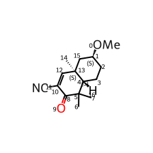 CO[C@H]1CC[C@@H]2C(C)(C)C(=O)C(C#N)=C[C@@]2(C)C1